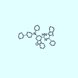 c1ccc(C2=NC(c3cc(N(c4ccccc4)c4ccc(-c5ccccc5)cc4)cc4oc5ccccc5c34)Nc3c2sc2ccccc32)cc1